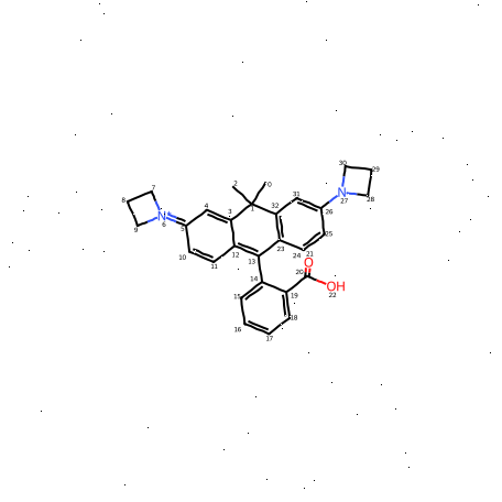 CC1(C)C2=CC(=[N+]3CCC3)C=CC2=C(c2ccccc2C(=O)O)c2ccc(N3CCC3)cc21